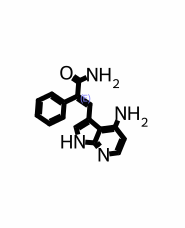 NC(=O)/C(=C/c1c[nH]c2nccc(N)c12)c1ccccc1